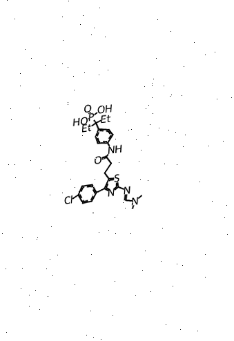 CCC(CC)(c1ccc(NC(=O)CCc2sc(/N=C/N(C)C)nc2-c2ccc(Cl)cc2)cc1)P(=O)(O)O